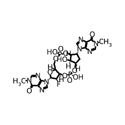 Cn1cnc2c(ncn2[C@@H]2C[C@@H]3OP(=O)(O)O[C@H]4[C@@H](F)[C@H](n5cnc6c(=O)n(C)cnc65)O[C@@H]4COP(=O)(O)O[C@@H]2[C@@H]3O)c1=O